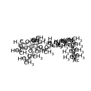 CC(=O)N(C)C.CC(=O)N(C)C.CC(=O)N(C)C.CC(=O)N(C)C.CC(=O)N(C)C.CC(=O)N(C)C.CC(O)COC(C)COC(CO)CC(CC(CO)OCC(C)OCC(C)O)(CC(CO)OCC(C)OCC(C)O)C(=O)N(C)C